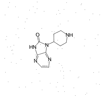 O=c1[nH]c2nccnc2n1C1CCNCC1